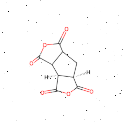 O=C1OC(=O)C2C1C[C@H]1C(=O)OC(=O)[C@@H]21